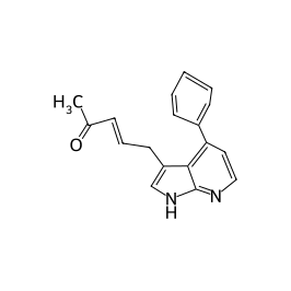 CC(=O)C=CCc1c[nH]c2nccc(-c3ccccc3)c12